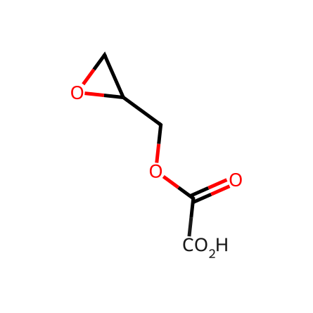 O=C(O)C(=O)OCC1CO1